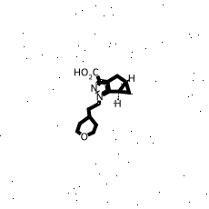 O=C(O)c1nn(CCC2CCOCC2)c2c1C[C@H]1C[C@@H]21